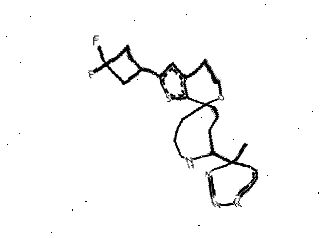 CC1(C2CC3(CCN2)OCCc2cc(C4CC(F)(F)C4)sc23)C=NN=N1